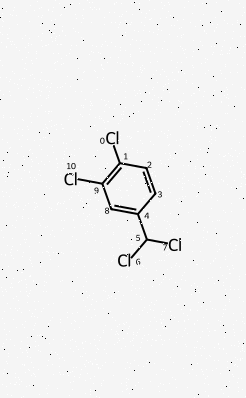 Clc1ccc(C(Cl)Cl)cc1Cl